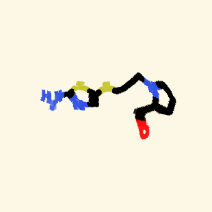 Nc1ncc(SCCN2CCC[C@H]2[C]=O)s1